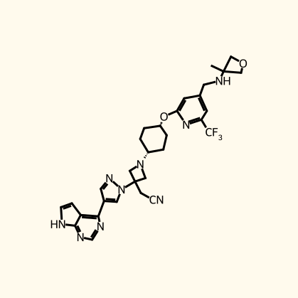 CC1(NCc2cc(O[C@H]3CC[C@@H](N4CC(CC#N)(n5cc(-c6ncnc7[nH]ccc67)cn5)C4)CC3)nc(C(F)(F)F)c2)COC1